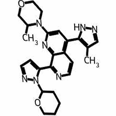 Cc1cn[nH]c1-c1cc(N2CCOCC2C)nc2c(-c3ccnn3C3CCCCO3)nccc12